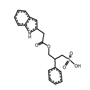 O=C(Cc1cc2ccccc2[nH]1)OCC(CS(=O)(=O)O)c1ccccc1